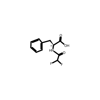 O=C(N[C@@H](Cc1ccccc1)C(=O)O)C(F)F